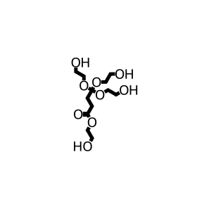 O=C(CCC(OCCO)(OCCO)OCCO)OCCO